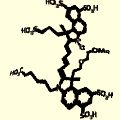 CC[N+]1=C(/C=C/C=C/C=C2/N(CCCCCC(=O)O)c3ccc4c(S(=O)(=O)O)cc(S(=O)(=O)O)cc4c3C2(C)CCOCCOC)C(C)(CCCS(=O)(=O)O)c2c1ccc1c(S(=O)(=O)O)cc(S(=O)(=O)O)cc21